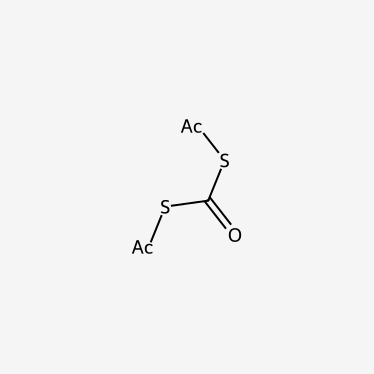 CC(=O)SC(=O)SC(C)=O